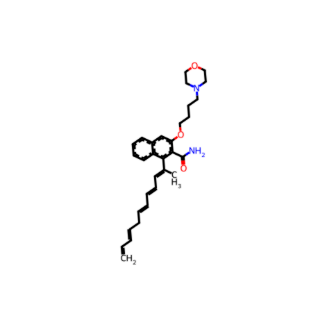 C=CC=CCC=CC=CC=C(C)c1c(C(N)=O)c(OCCCCN2CCOCC2)cc2ccccc12